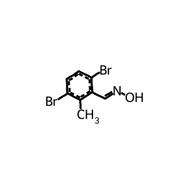 Cc1c(Br)ccc(Br)c1C=NO